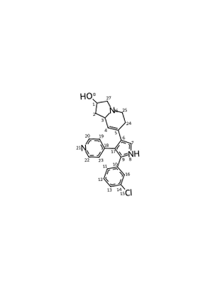 OC1CC2C=C(c3c[nH]c(-c4cccc(Cl)c4)c3-c3ccncc3)CCN2C1